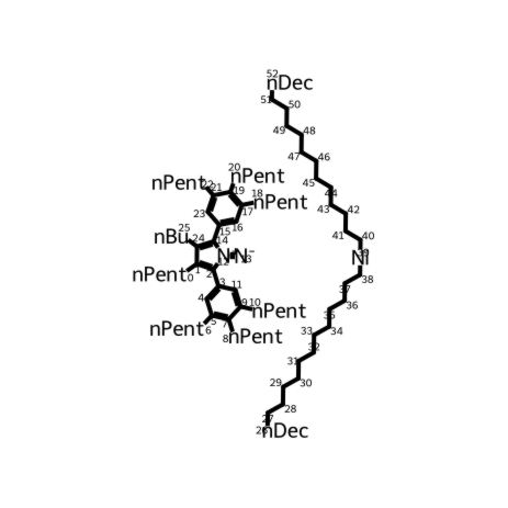 CCCCCC1=C(c2cc(CCCCC)c(CCCCC)c(CCCCC)c2)[N+](=[N-])C(c2cc(CCCCC)c(CCCCC)c(CCCCC)c2)=C1CCCC.CCCCCCCCCCCCCCCCCCCCC[CH2][Ni][CH2]CCCCCCCCCCCCCCCCCCCCC